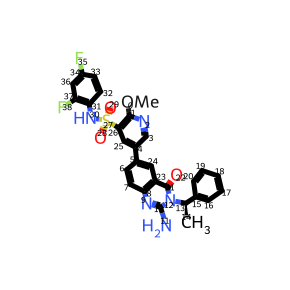 COc1ncc(-c2ccc3nc(N)n([C@H](C)c4ccccc4)c(=O)c3c2)cc1S(=O)(=O)Nc1ccc(F)cc1F